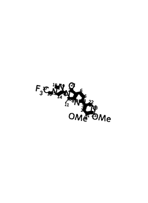 COc1cc(-c2ccc3c(n2)[C@H](C)N(c2cn(CC(F)(F)F)cn2)C3=O)cnc1OC